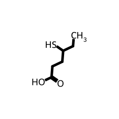 CCC(S)CCC(=O)O